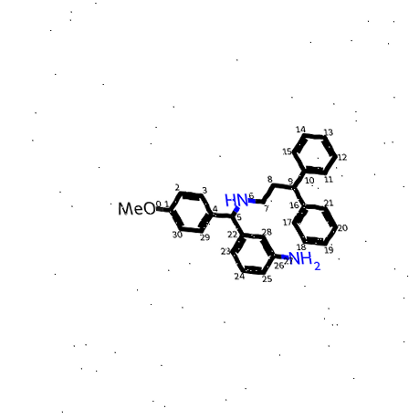 COc1ccc(C(NCCC(c2ccccc2)c2ccccc2)c2cccc(N)c2)cc1